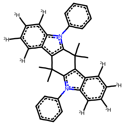 [2H]c1c([2H])c([2H])c2c(c1[2H])c1c(n2-c2ccccc2)C(C)(C)c2c(n(-c3ccccc3)c3c([2H])c([2H])c([2H])c([2H])c23)C1(C)C